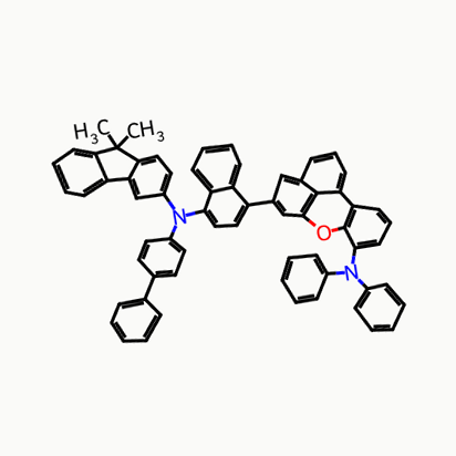 CC1(C)c2ccccc2-c2cc(N(c3ccc(-c4ccccc4)cc3)c3ccc(-c4cc5c6c(cccc6c4)-c4cccc(N(c6ccccc6)c6ccccc6)c4O5)c4ccccc34)ccc21